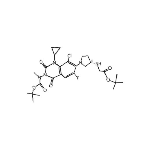 CN(C(=O)OC(C)(C)C)n1c(=O)c2cc(F)c(N3CC[C@H](NCC(=O)OC(C)(C)C)C3)c(Cl)c2n(C2CC2)c1=O